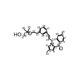 Cc1ccc(C(=O)c2cc(C)cn2C/C=C/c2cccc(CCOC(C)(C)C(=O)O)c2)cc1